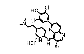 CC(=O)c1cnc2ccc(-c3cc(Cl)c(O)c(Cl)c3)nc2c1NC1CCC(CCN(C)C)CC1.Cl.Cl